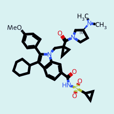 COc1ccc(-c2c(C3CCCCC3)c3ccc(C(=O)NS(=O)(=O)C4CC4)cc3n2CC2(C(=O)N3CC[C@H](N(C)C)C3)CC2)cc1